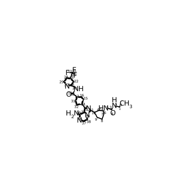 CCNC(=O)NC1CCCC(c2nc(-c3ccc(C(=O)Nc4cc(C(F)(F)F)ccn4)cc3)c3c(N)nccn23)C1